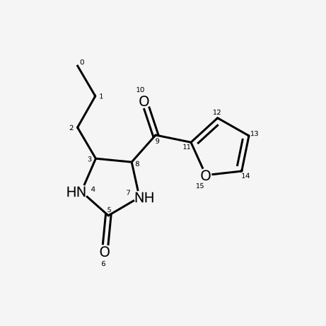 CCCC1NC(=O)NC1C(=O)c1ccco1